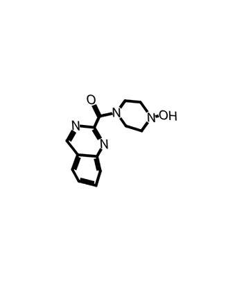 O=C(c1ncc2ccccc2n1)N1CCN(O)CC1